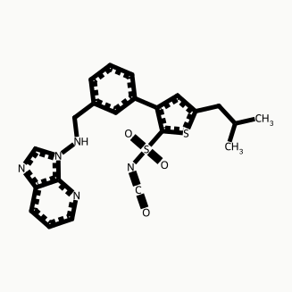 CC(C)Cc1cc(-c2cccc(CNn3cnc4cccnc43)c2)c(S(=O)(=O)N=C=O)s1